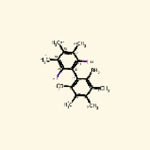 Bc1c(C)c(C)c(C)c(B)c1-c1c(I)c(C)c(C)c(C)c1I